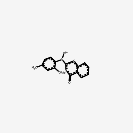 CCCN(c1nc(=O)c2ccccc2s1)c1ccc(C)cc1OC